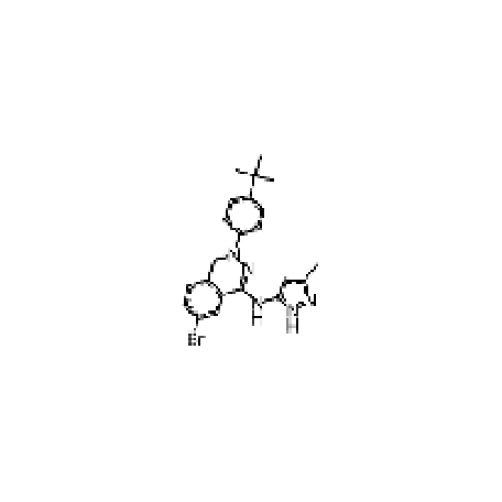 Cc1cc(NC2=NN(c3ccc(C(C)(C)C)cc3)Cc3ccc(Br)cc32)[nH]n1